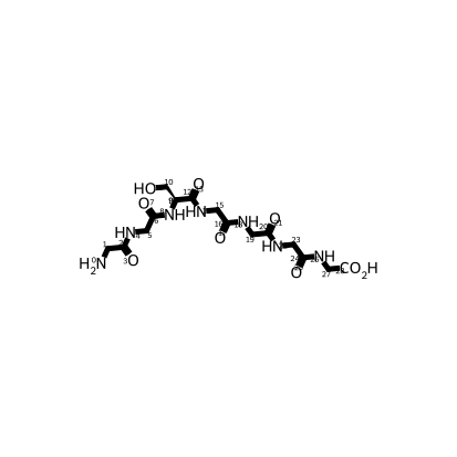 NCC(=O)NCC(=O)N[C@@H](CO)C(=O)NCC(=O)NCC(=O)NCC(=O)NCC(=O)O